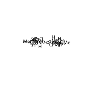 COC(=O)NC(C(=O)N1[C@@H](C)CC[C@H]1c1nc(Cl)c(-c2ccc(-c3ccc4cc(-c5[nH]c([C@@H]6CC[C@H](C)N6C(=O)[C@@H](NC(=O)OC)C(C)C)nc5Cl)ccc4c3)cc2)[nH]1)C(C)C